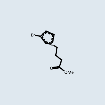 COC(=O)CCCn1ccc(Br)c1